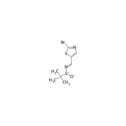 CC(C)(C)[S+]([O-])/N=C/c1cnc(Br)s1